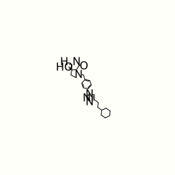 NC(=O)C1C(O)CCN1Cc1ccc(-n2cc(CCC3CCCCC3)nn2)cc1